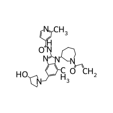 C=CC(=O)N1CCCCC(n2c(NC(=O)c3ccnc(C)c3)nc3cc(CN4CCC(O)C4)cc(C)c32)C1